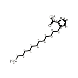 CCCCCCCCCCCCCc1ccsc1C(=O)O